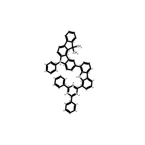 CC1(C)c2ccccc2-c2ccc3c(c21)c1cc(-c2cccc4c2oc2c(-c5nc(-c6ccccc6)nc(-c6ccccc6)n5)cccc24)ccc1n3-c1ccccc1